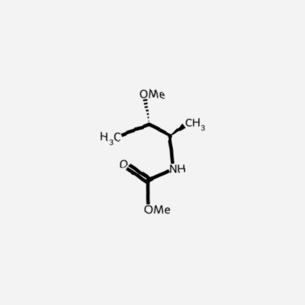 COC(=O)N[C@H](C)[C@H](C)OC